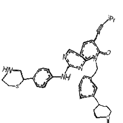 CC(C)C#Cc1cc2cnc(Nc3ccc(C4CNCCS4)cc3)nc2n(Cc2cccc(C3CCOCC3)c2)c1=O